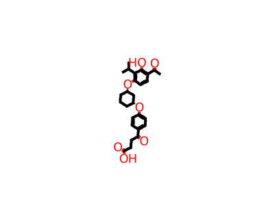 CC(=O)c1ccc(O[C@@H]2CCC[C@@H](Oc3ccc(C(=O)CCC(=O)O)cc3)C2)c(C(C)C)c1O